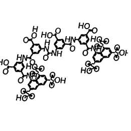 O=C(Nc1cc(C(=O)O)cc(C(=O)Nc2cc(C(=O)O)cc(C(=O)Nc3cc(S(=O)(=O)O)cc4cc(S(=O)(=O)O)cc(S(=O)(=O)O)c34)c2)c1)Nc1cc(C(=O)O)cc(C(=O)Nc2cc(C(=O)O)cc(C(=O)Nc3cc(S(=O)(=O)O)cc4cc(S(=O)(=O)O)cc(S(=O)(=O)O)c34)c2)c1